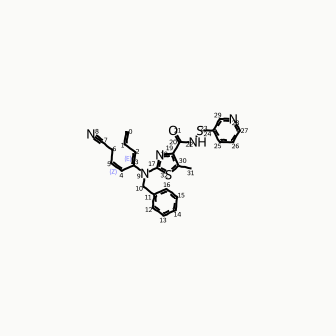 C=C/C=C(\C=C/CC#N)N(Cc1ccccc1)c1nc(C(=O)NSc2cccnc2)c(C)s1